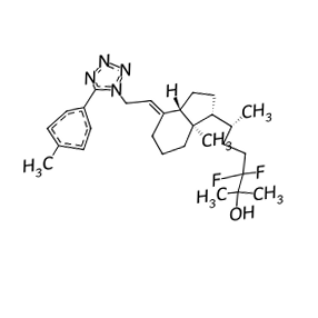 Cc1ccc(-c2nnnn2C/C=C2\CCC[C@]3(C)[C@@H]([C@H](C)CCC(F)(F)C(C)(C)O)CC[C@@H]23)cc1